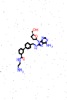 NCCNC(=O)c1cccc(-c2ccc(CNc3nc4c(N)ncnc4n3[C@H]3CC[C@@H](CO)O3)cc2)c1